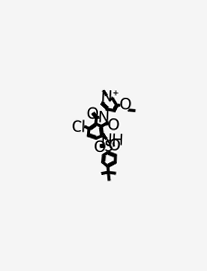 CCOc1cc(N2C(=O)c3c(Cl)ccc(NS(=O)(=O)c4ccc(C(C)(C)C)cc4)c3C2=O)c[n+](C)c1